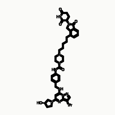 CC(C)c1cnn2c(NCc3ccc(NC(=O)N4CCN(CCCCCc5cccc6c5CN(C5CCC(=O)NC5=O)C6=O)CC4)cc3)cc(N3CC[C@@H](O)C3)nc12